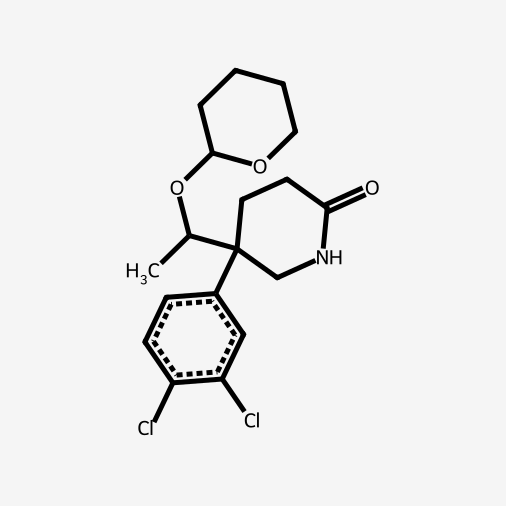 CC(OC1CCCCO1)C1(c2ccc(Cl)c(Cl)c2)CCC(=O)NC1